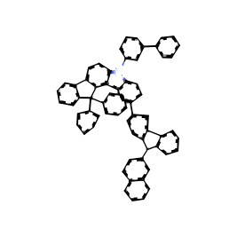 c1ccc(-c2cccc(-n3c4ccc(-c5ccc6c(c5)-c5ccccc5C6c5ccc6ccccc6c5)cc4c4c5c(ccc43)-c3ccccc3C5(c3ccccc3)c3ccccc3)c2)cc1